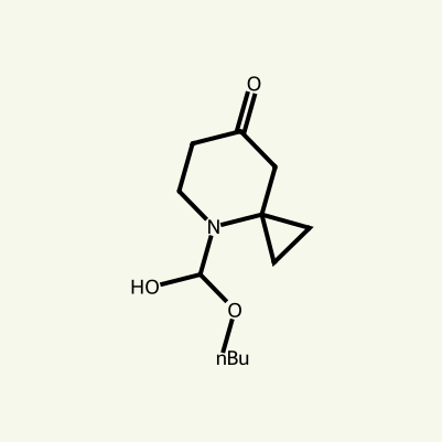 CCCCOC(O)N1CCC(=O)CC12CC2